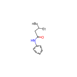 CCCCC(CC)CC(=O)Nc1ccccc1